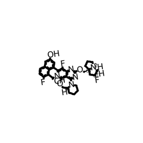 [2H]C1([2H])[C@H](F)C[C@]2(COc3nc4c5c(nc(-c6cc(O)cc7ccc(F)c(C#C)c67)c(F)c5n3)OC[C@@H]3CCCCN43)CCCN12